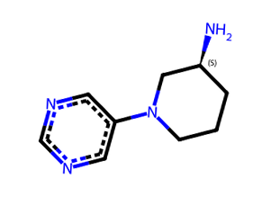 N[C@H]1CCCN(c2cncnc2)C1